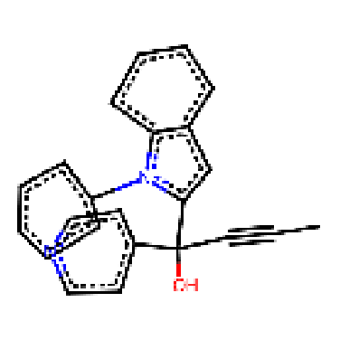 CC#CC(O)(c1ccncc1)c1cc2ccccc2n1-c1ccccc1